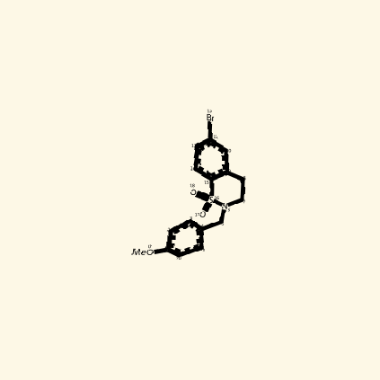 COc1ccc(CN2CCc3cc(Br)ccc3S2(=O)=O)cc1